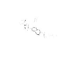 CCCCCCCOc1ccc2cc(-c3noc(C4CCCN4C(=O)O)n3)ccc2c1